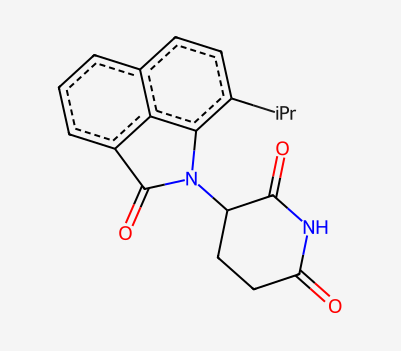 CC(C)c1ccc2cccc3c2c1N(C1CCC(=O)NC1=O)C3=O